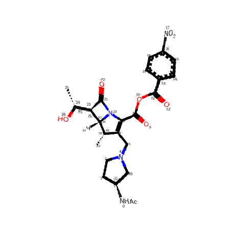 CC(=O)N[C@H]1CCN(CC2=C(C(=O)OC(=O)c3ccc([N+](=O)[O-])cc3)N3C(=O)[C@H]([C@@H](C)O)[C@H]3[C@H]2C)C1